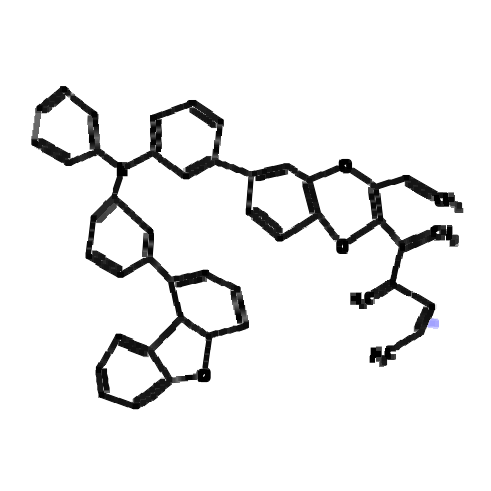 C=CC1=C(C(=C)C(=C)/C=C\C)Oc2ccc(-c3cccc(N(c4ccccc4)c4cccc(C5=CC=CC6Oc7ccccc7C56)c4)c3)cc2O1